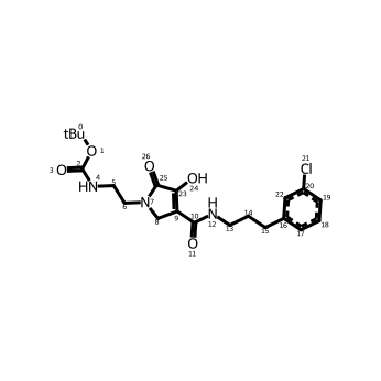 CC(C)(C)OC(=O)NCCN1CC(C(=O)NCCCc2cccc(Cl)c2)=C(O)C1=O